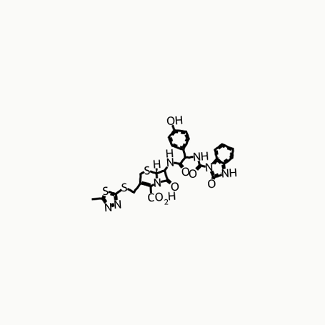 Cc1nnc(SCC2=C(C(=O)O)N3C(=O)C(NC(=O)C(NC(=O)n4c(=O)[nH]c5ccccc54)c4ccc(O)cc4)[C@H]3SC2)s1